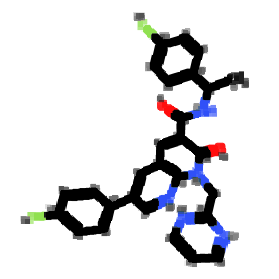 CC(NC(=O)c1cc2cc(-c3ccc(F)cc3)cnc2n(Cc2ncccn2)c1=O)c1ccc(F)cc1